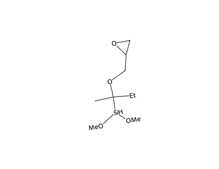 CCC(C)(OCC1CO1)[SiH](OC)OC